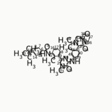 Cc1c(NC(=O)c2ccc(C(C)(C)C)cc2)cccc1-c1cn(C)c(=O)c(Nc2ccc(C(C(=O)N3CCOCC3)N(C)C(C)C)cc2)n1